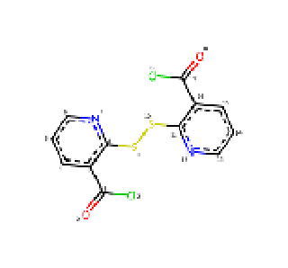 O=C(Cl)c1cccnc1SSc1ncccc1C(=O)Cl